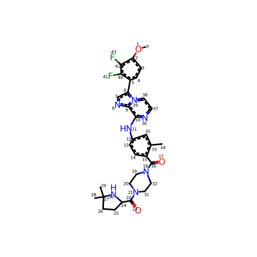 COc1ccc(-c2cnc3c(Nc4ccc(C(=O)N5CCN(C(=O)C6CCC(C)(C)N6)CC5)c(C)c4)nccn23)c(F)c1F